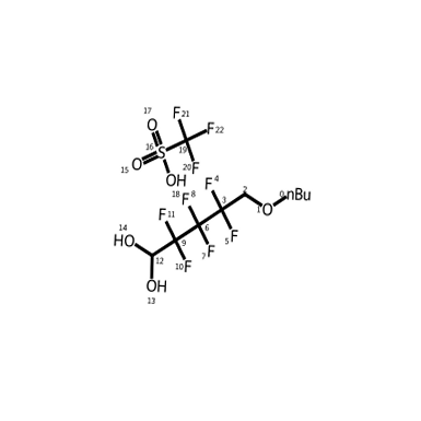 CCCCOCC(F)(F)C(F)(F)C(F)(F)C(O)O.O=S(=O)(O)C(F)(F)F